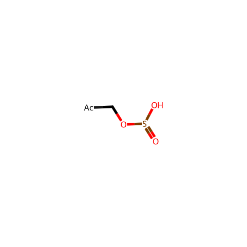 CC(=O)COS(=O)O